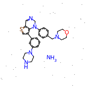 C1=NCN(c2ccc(CN3CCOCC3)cc2)c2c(-c3cccc(N4CCNCC4)c3)csc21.N